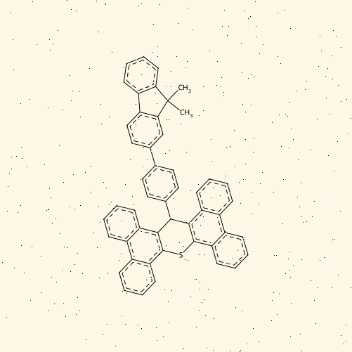 CC1(C)c2ccccc2-c2ccc(-c3ccc(C4c5c(c6ccccc6c6ccccc56)Sc5c4c4ccccc4c4ccccc54)cc3)cc21